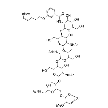 CCCCCC/C=C\CCCOc1cccc(C(=O)NC2C(O[C@@H]3C(CO)OC(OC(C)C(CO)OC(CNC(C)=O)O[C@@H]4C(CO)OC(OC(C)C(CO[C@@H]5OC6OC6=CC5OC)OC(O)CNC(C)=O)C(NC(C)=O)C4O)C(NC(C)=O)C3O)OC(CO)[C@@H](O)C2O)c1